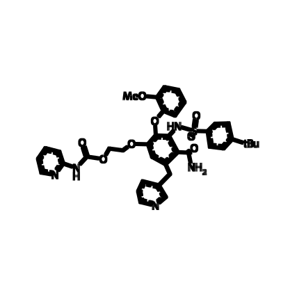 COc1ccccc1Oc1c(OCCOC(=O)Nc2ccccn2)cc(Cc2cccnc2)c(C(N)=O)c1NS(=O)(=O)c1ccc(C(C)(C)C)cc1